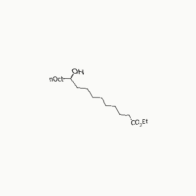 CCCCCCCCC(O)CCCCCCCCC(=O)OCC